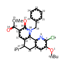 CCCCOc1cc2c(nc1Cl)-c1c(cc(C(=O)OC)c(=O)n1Cc1ccccc1)C(C(C)C)C2